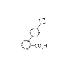 O=C(O)c1ccccc1-c1ccc(C2CCC2)cc1